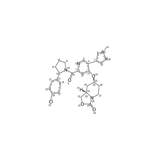 Cn1cc(-c2cnc(C(=O)N3CCCC3c3ccc(Cl)cc3)cc2O[C@H]2CCN3C(=O)OC[C@@H]3C2)cn1